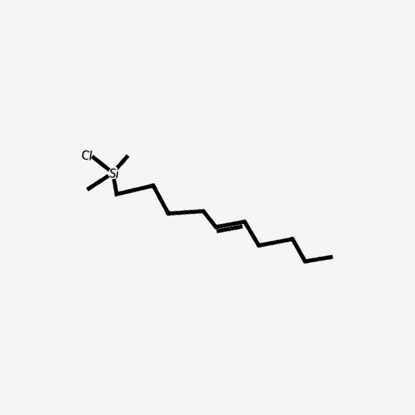 CCCCC=CCCCC[Si](C)(C)Cl